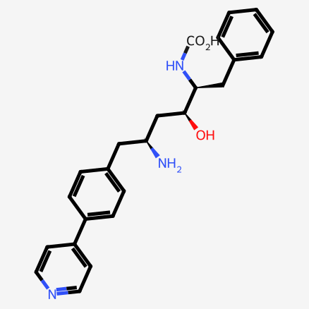 N[C@@H](Cc1ccc(-c2ccncc2)cc1)C[C@H](O)[C@H](Cc1ccccc1)NC(=O)O